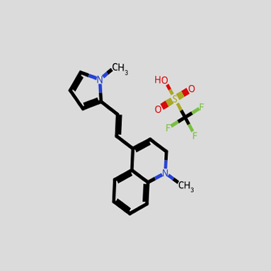 CN1CC=C(C=Cc2cccn2C)c2ccccc21.O=S(=O)(O)C(F)(F)F